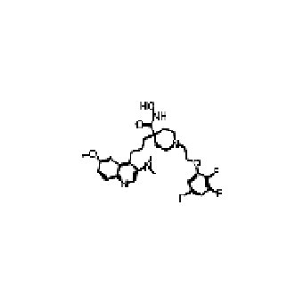 COc1ccc2ncc(N(C)C)c(CCCC3(C(=O)NO)CCN(CCOc4cc(F)cc(F)c4F)CC3)c2c1